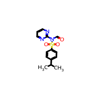 CC(C)c1ccc(S(=O)(=O)N(C=O)c2ncccn2)cc1